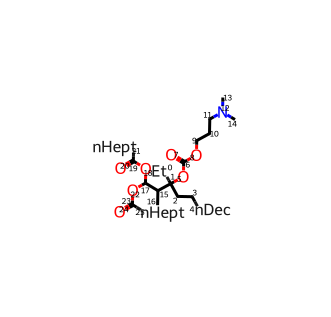 [CH2]CC(CCCCCCCCCCCC)(OC(=O)OCCCN(C)C)C(C)C(OC(=O)CCCCCCC)OC(=O)CCCCCCC